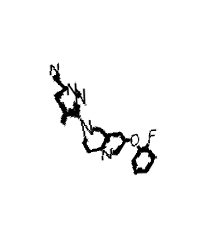 Cc1cc(C#N)nnc1N1CCc2ncc(Oc3ccccc3F)cc2C1